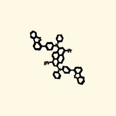 CC(C)c1cc(N(c2ccccc2)c2ccc(-c3cccc4c3sc3ccccc34)cc2)c2ccc3c(C(C)C)cc(N(c4ccccc4)c4ccc(-c5cccc6c5sc5ccccc56)cc4)c4ccc1c2c34